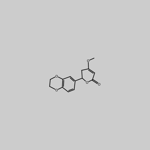 COC1=CC(=O)OC(c2ccc3c(c2)OCCO3)C1